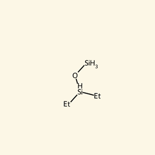 CC[SiH](CC)O[SiH3]